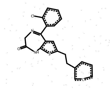 O=C1CN=C(c2ccccc2Cl)c2cc(CCc3ccccc3)sc2N1